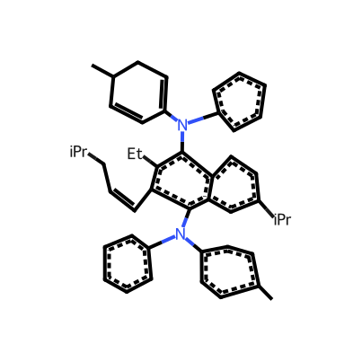 CCc1c(/C=C\CC(C)C)c(N(c2ccccc2)c2ccc(C)cc2)c2cc(C(C)C)ccc2c1N(C1=CCC(C)C=C1)c1ccccc1